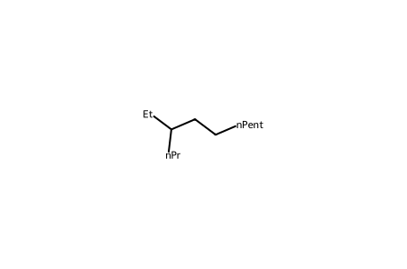 [CH2]CCCCCCC(C[CH2])CCC